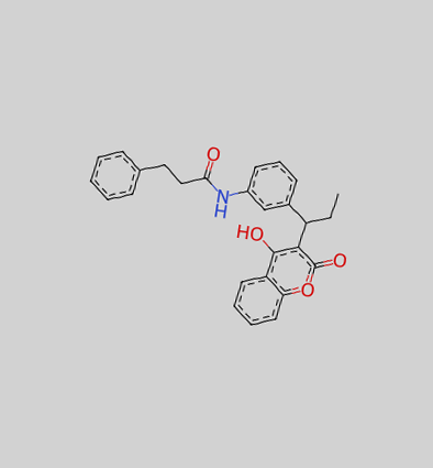 CCC(c1cccc(NC(=O)CCc2ccccc2)c1)c1c(O)c2ccccc2oc1=O